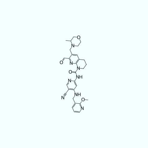 COc1ncccc1CNc1cc(NC(=O)N2CCCc3cc(CN4CCOCC4C)c(C=O)nc32)ncc1C#N